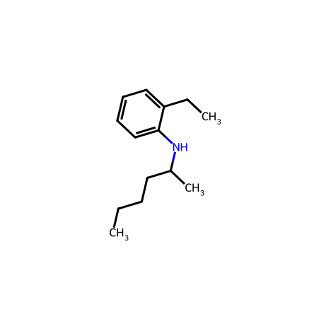 CCCCC(C)Nc1ccccc1CC